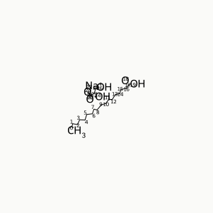 CCCCCCCCCCCCCCCCCC(=O)O.O=C([O-])C(O)CO.[Na+]